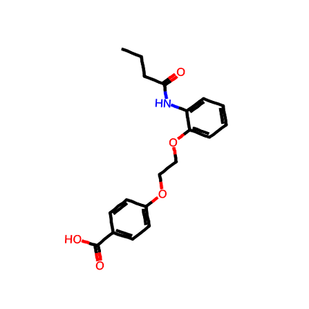 CCCC(=O)Nc1ccccc1OCCOc1ccc(C(=O)O)cc1